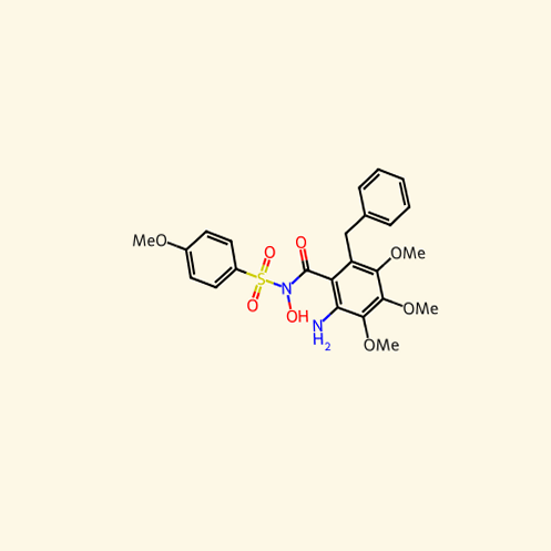 COc1ccc(S(=O)(=O)N(O)C(=O)c2c(N)c(OC)c(OC)c(OC)c2Cc2ccccc2)cc1